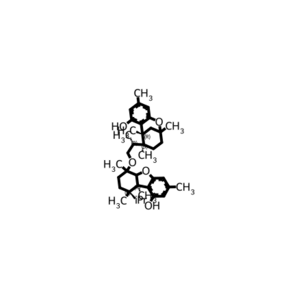 Cc1cc(O)c2c(c1)OC1(C)CC[C@@](C)([C@@H](C)COC3(C)CC[C@](C)(C(C)C)[C@]4(C)c5c(O)cc(C)cc5OC34)[C@@]2(C)C1